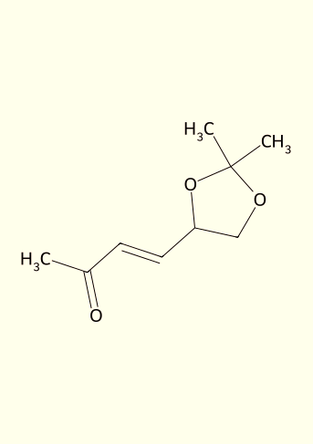 CC(=O)C=CC1COC(C)(C)O1